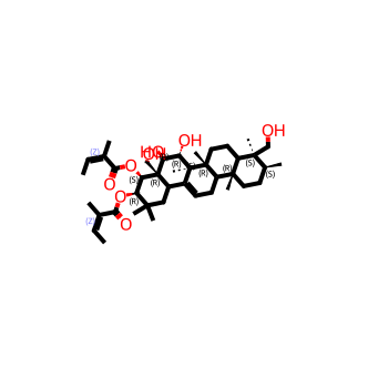 C/C=C(/C)C(=O)O[C@@H]1[C@H](OC(=O)/C(C)=C\C)C(C)(C)CC2C3=CCC4[C@@]5(C)CC[C@H](C)[C@](C)(CO)C5CC[C@@]4(C)[C@]3(C)[C@@H](O)[C@H](O)[C@]21CO